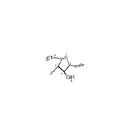 CCCC1OC(CC)C(F)C1O